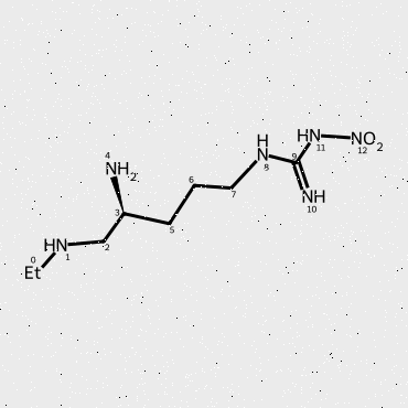 CCNC[C@@H](N)CCCNC(=N)N[N+](=O)[O-]